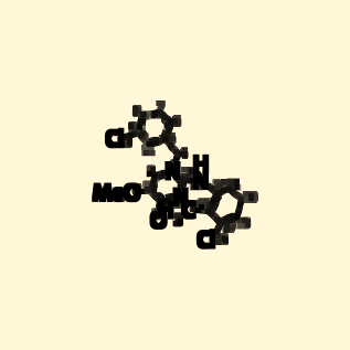 COc1cn(Cc2cccc(Cl)c2)c(NC2=C(C)C(Cl)=CCC2)nc1=O